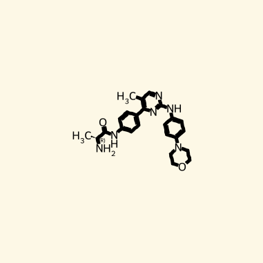 Cc1cnc(Nc2ccc(N3CCOCC3)cc2)nc1-c1ccc(NC(=O)[C@@H](C)N)cc1